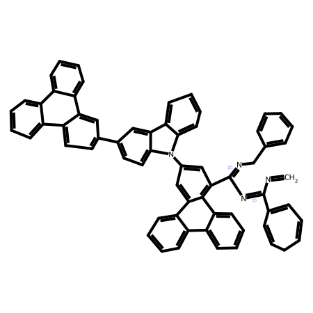 C=N/C(=N\C(=N/Cc1ccccc1)c1cc(-n2c3ccccc3c3cc(-c4ccc5c6ccccc6c6ccccc6c5c4)ccc32)cc2c3ccccc3c3ccccc3c12)C1=CC=CCC=C1